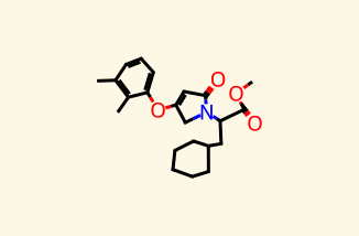 COC(=O)C(CC1CCCCC1)N1CC(Oc2cccc(C)c2C)=CC1=O